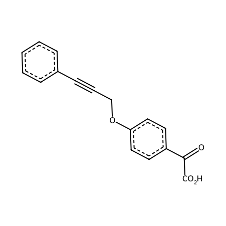 O=C(O)C(=O)c1ccc(OCC#Cc2ccccc2)cc1